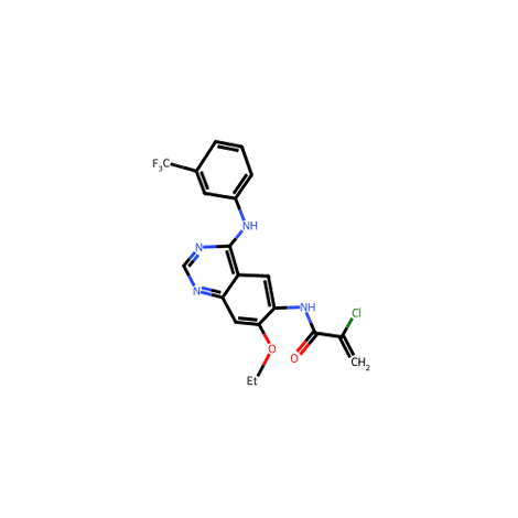 C=C(Cl)C(=O)Nc1cc2c(Nc3cccc(C(F)(F)F)c3)ncnc2cc1OCC